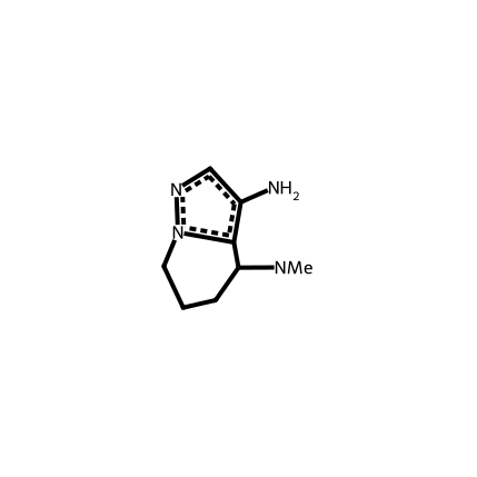 CNC1CCCn2ncc(N)c21